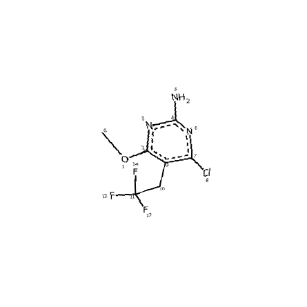 COc1nc(N)nc(Cl)c1CC(F)(F)F